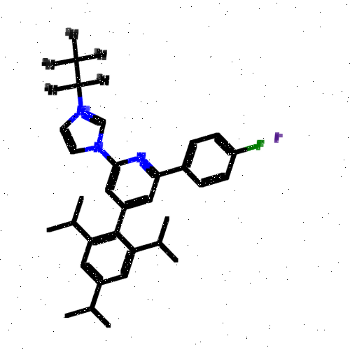 [2H]C([2H])([2H])C([2H])([2H])[n+]1ccn(-c2cc(-c3c(C(C)C)cc(C(C)C)cc3C(C)C)cc(-c3ccc(F)cc3)n2)c1.[I-]